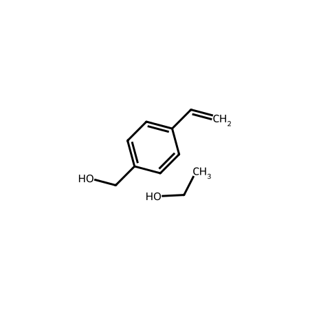 C=Cc1ccc(CO)cc1.CCO